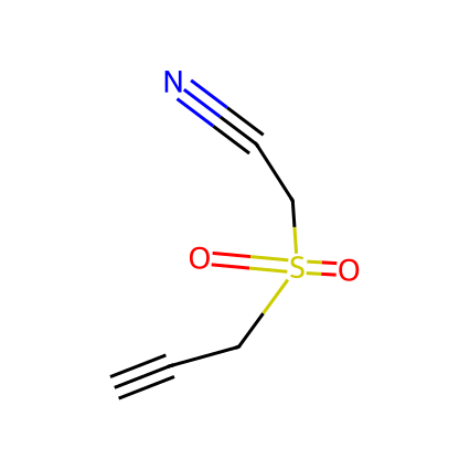 C#CCS(=O)(=O)CC#N